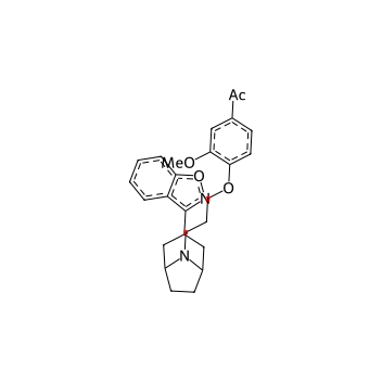 COc1cc(C(C)=O)ccc1OCCCN1C2CCC1CC(c1noc3ccccc13)C2